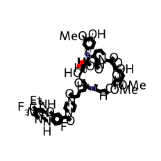 CCNc1nc(Nc2cc(F)c(C(=O)N3CCN(C(=O)CCC[C@@H]4/C=C(\C)C[C@H](C)C[C@H](OC)[C@H]5O[C@@](O)(C(=O)C(=O)N6CCCC7/C(=C\[C@@H]8CC[C@@H](O)[C@H](OC)C8)[C@@H](OC(=O)[C@H]76)[C@H](C)[C@@H](O)CC4=O)[C@H](C)C[C@@H]5OC)CC3)cc2OC)ncc1C(F)(F)F